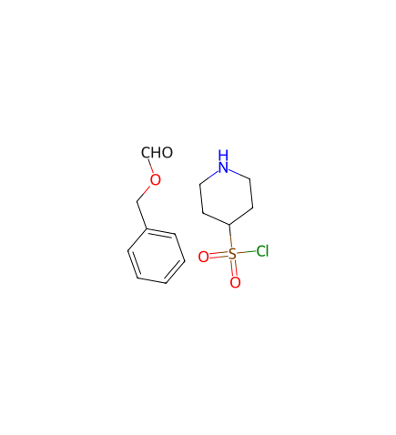 O=COCc1ccccc1.O=S(=O)(Cl)C1CCNCC1